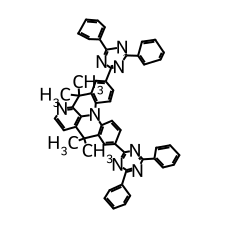 CC1(C)c2cc(-c3nc(-c4ccccc4)nc(-c4ccccc4)n3)ccc2N2c3ccc(-c4nc(-c5ccccc5)nc(-c5ccccc5)n4)cc3C(C)(C)c3nccc1c32